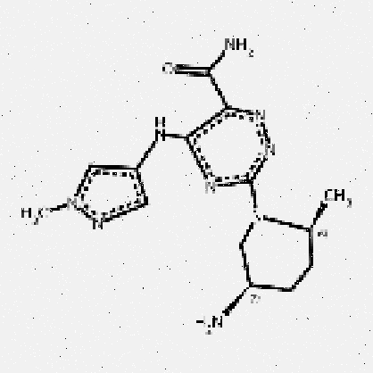 C[C@H]1CC[C@@H](N)CN1c1nnc(C(N)=O)c(Nc2cnn(C)c2)n1